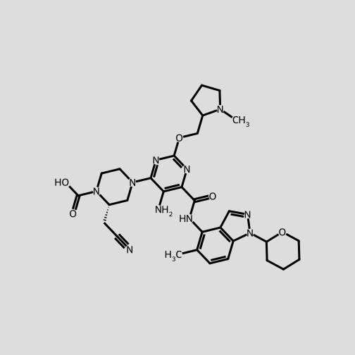 Cc1ccc2c(cnn2C2CCCCO2)c1NC(=O)c1nc(OCC2CCCN2C)nc(N2CCN(C(=O)O)[C@@H](CC#N)C2)c1N